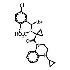 CC(C)(C)C(c1cc(Cl)ccc1Cl)N(C(=O)O)C1(C(=O)N2CCN(C3CC3)c3ccccc32)CC1